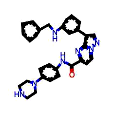 O=C(Nc1ccc(N2CCNCC2)cc1)c1ccn2ncc(-c3cccc(NCc4ccccc4)c3)c2n1